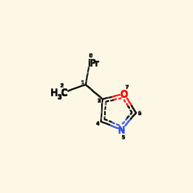 CC(C)C(C)c1cnco1